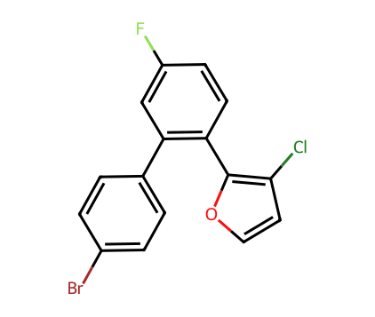 Fc1ccc(-c2occc2Cl)c(-c2ccc(Br)cc2)c1